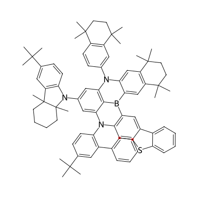 CC(C)(C)c1ccc(N2c3cc4sc5ccccc5c4cc3B3c4cc5c(cc4N(c4ccc6c(c4)C(C)(C)CCC6(C)C)c4cc(N6c7ccc(C(C)(C)C)cc7C7(C)CCCCC67C)cc2c43)C(C)(C)CCC5(C)C)c(-c2ccccc2)c1